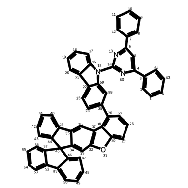 c1ccc(-c2cc(-c3ccccc3)nc(-n3c4ccccc4c4ccc(-c5cccc6oc7cc8c(cc7c56)-c5ccccc5C85c6ccccc6-c6ccccc65)cc43)n2)cc1